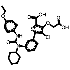 CCOc1ccc(NC(=O)N(c2cccc(-c3sc(C(=O)O)c(OCC(=O)O)c3Cl)c2)C2CCCCC2)cc1